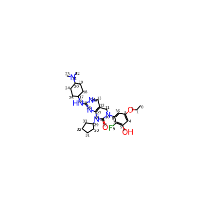 CCOc1cc(O)c(F)c(N2Cc3cnc(NC4CCC(N(C)C)CC4)nc3N(C3CCCC3)C2=O)c1